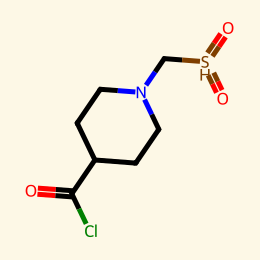 O=C(Cl)C1CCN(C[SH](=O)=O)CC1